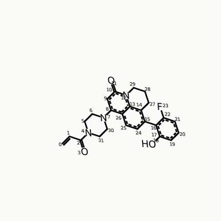 C=CC(=O)N1CCN(c2cc(=O)n3c4c(c(-c5c(O)cccc5F)ccc24)CCC3)CC1